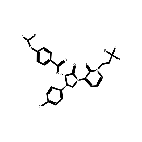 O=C(N[C@@H]1C(=O)N(c2cccn(CCC(F)(F)F)c2=O)C[C@H]1c1ccc(Cl)cc1)c1ccc(OC(F)F)cc1